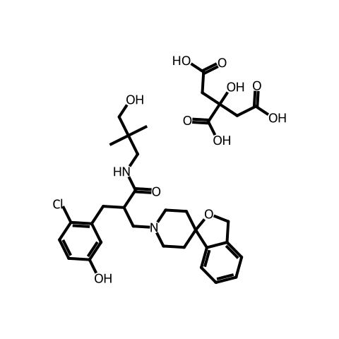 CC(C)(CO)CNC(=O)C(Cc1cc(O)ccc1Cl)CN1CCC2(CC1)OCc1ccccc12.O=C(O)CC(O)(CC(=O)O)C(=O)O